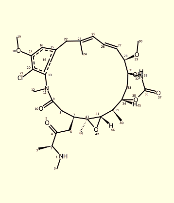 CN[C@@H](C)C(=O)C[C@H]1CC(=O)N(C)c2cc(cc(OC)c2Cl)C/C(C)=C/C=C/[C@@H](OC)[C@@]2(O)C[C@H](OC(=O)N2)[C@@H](C)[C@@H]2O[C@@]12C